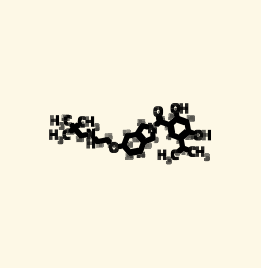 CC(C)c1cc(C(=O)N2CC3=C(CC(OCCNCC(C)(C)C)C=C3)C2)c(O)cc1O